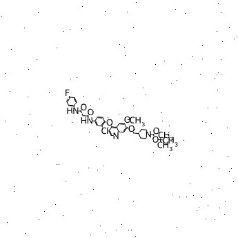 COc1cc2c(Oc3ccc(NC(=O)CC(=O)Nc4ccc(F)cc4)cc3Cl)ccnc2cc1OCC1CCN(C(=O)OC(C)(C)C)CC1